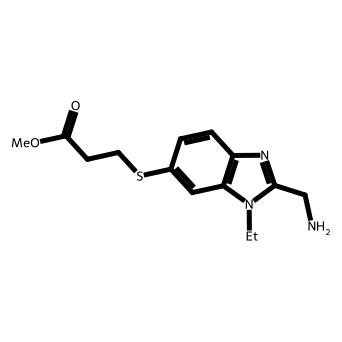 CCn1c(CN)nc2ccc(SCCC(=O)OC)cc21